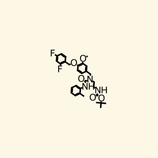 COc1cc(CN(CCNC(=O)OC(C)(C)C)C(=O)Nc2ccccc2C)ccc1OCc1ccc(F)cc1F